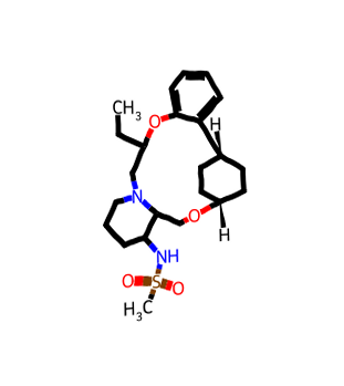 CCC1CN2CCCC(NS(C)(=O)=O)C2CO[C@H]2CC[C@H](CC2)c2ccccc2O1